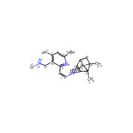 CCCc1cc(C(C)(C)C)nc(/C=C\N2C3=C2C2(C)C4(C)CC3C42C)c1CNCC